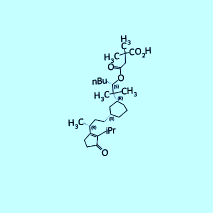 CCCC[C@H](OC(=O)CC(C)(C)C(=O)O)C(C)(C)[C@@H]1CCC[C@H](CC[C@@H](C)C2=C(C(C)C)C(=O)CC2)C1